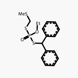 CCOP(=O)(SCSC)SC(c1ccccc1)c1ccccc1